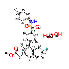 COC(=O)Cc1cc2ccc(F)cc2c(-c2ccc(S(=O)(=O)Nc3ccc(C)cc3)cc2)c1C.O.[Li+].[OH-]